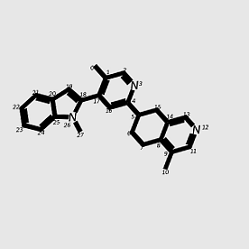 Cc1cnc(C2CCc3c(C)cncc3C2)cc1-c1cc2ccccc2n1C